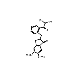 COc1cc2c(cc1OC)C(=O)C(Cc1ccncc1C(=O)N(C(C)C)C(C)C)C2